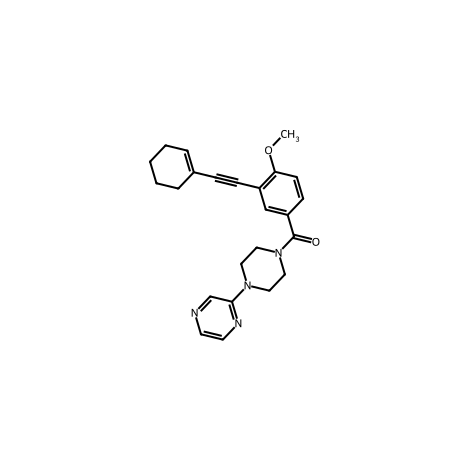 COc1ccc(C(=O)N2CCN(c3cnccn3)CC2)cc1C#CC1=CCCCC1